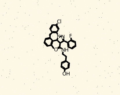 Cc1ccc(Cl)cc1N1N=C(c2ccccc2F)C(C(=O)NCCc2ccc(O)cc2)C1c1c(C)cccc1C